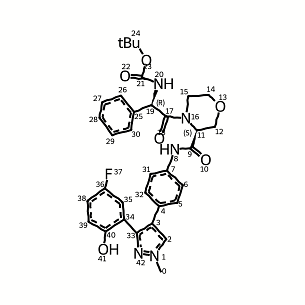 Cn1cc(-c2ccc(NC(=O)[C@@H]3COCCN3C(=O)[C@H](NC(=O)OC(C)(C)C)c3ccccc3)cc2)c(-c2cc(F)ccc2O)n1